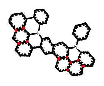 c1ccc(-c2ccccc2N(c2ccccc2)c2cc3cc(N(c4ccccc4)c4ccccc4-c4ccccc4)c(-c4ccccc4)cc3cc2-c2ccccc2)cc1